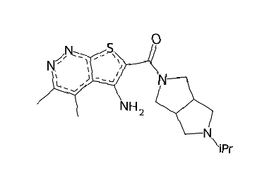 Cc1nnc2sc(C(=O)N3CC4CN(C(C)C)CC4C3)c(N)c2c1C